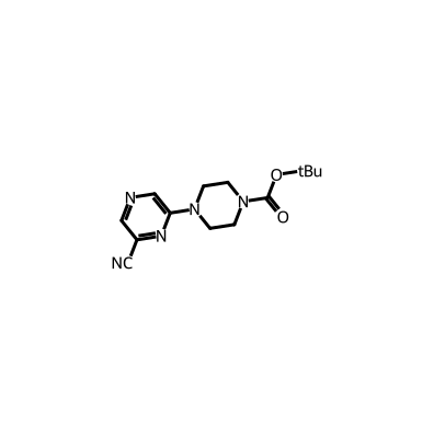 CC(C)(C)OC(=O)N1CCN(c2cncc(C#N)n2)CC1